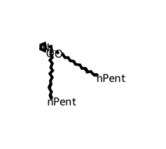 CCCCCC=CCC=CCCCCCCCCOC[C@@H](CN1CCCC1)OCCCCCCCCC=CCC=CCCCCC